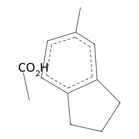 CC(=O)O.Cc1ccc2c(c1)CCC2